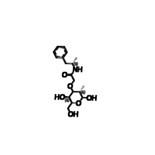 C[C@@H]1C(O)OC(CO)[C@@H](O)C1OCC(=O)N[C@@H](C)Cc1ccccc1